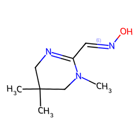 CN1CC(C)(C)CN=C1/C=N/O